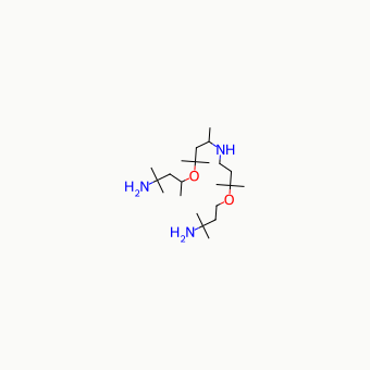 CC(CC(C)(C)OC(C)CC(C)(C)N)NCCC(C)(C)OCCC(C)(C)N